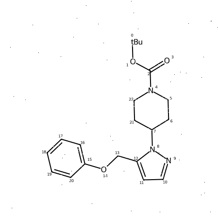 CC(C)(C)OC(=O)N1CCC(n2nccc2COc2ccccc2)CC1